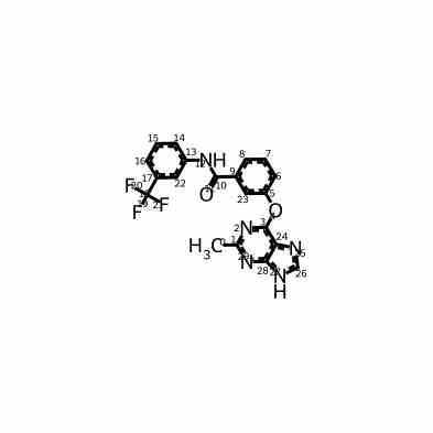 Cc1nc(Oc2cccc(C(=O)Nc3cccc(C(F)(F)F)c3)c2)c2nc[nH]c2n1